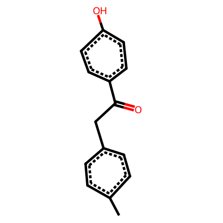 Cc1ccc(CC(=O)c2ccc(O)cc2)cc1